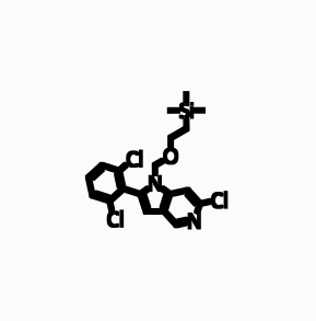 C[Si](C)(C)CCOCn1c(-c2c(Cl)cccc2Cl)cc2cnc(Cl)cc21